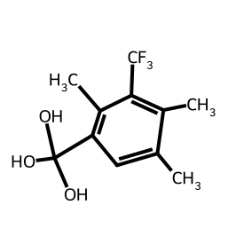 Cc1cc(C(O)(O)O)c(C)c(C(F)(F)F)c1C